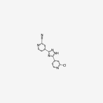 N#Cc1cc(-c2n[nH]c(-c3ccnc(Cl)c3)n2)ccn1